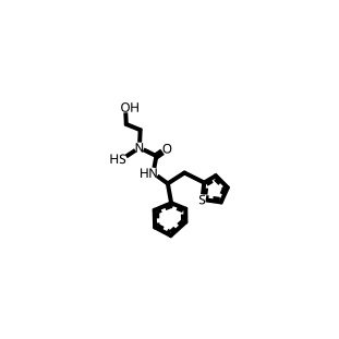 O=C(NC(Cc1cccs1)c1ccccc1)N(S)CCO